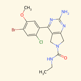 CCNC(=O)N1Cc2nc(N)nc(-c3cc(OC)c(Br)cc3Cl)c2C1